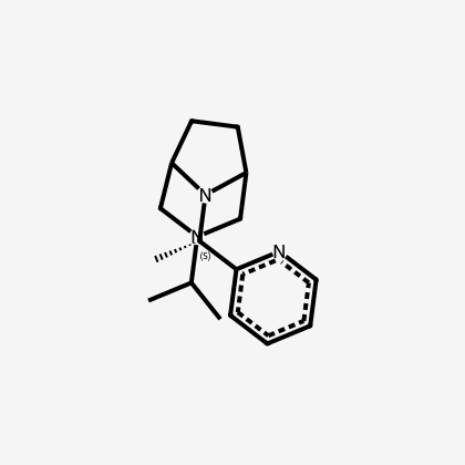 CC(C)N1CC2CCC(C1)N2[C@@H](C)c1ccccn1